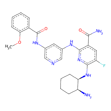 COc1ccccc1C(=O)Nc1cncc(Nc2nc(N[C@@H]3CCCC[C@@H]3N)c(F)cc2C(N)=O)c1